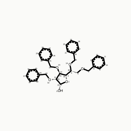 O[C@H]1O[C@@H]([C@@H](COCc2ccccc2)OCc2ccccc2)[C@H](OCc2ccccc2)[C@H]1OCc1ccccc1